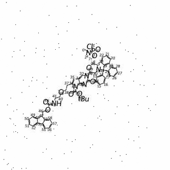 CN(C)P(=O)(Cl)OC[C@@H]1CN(C(c2ccccc2)(c2ccccc2)c2ccccc2)C[C@@H](n2cc3cc(CCOCCNC(=O)OCC4c5ccccc5-c5ccccc54)n(C(=O)OC(C)(C)C)c3nc2=O)O1